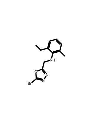 CCc1cccc(C)c1NCc1nnc(Br)o1